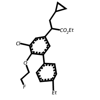 CCOC(=O)C(CC1CC1)c1cc(Cl)c(OCCF)c(-c2ccc(CC)cc2)c1